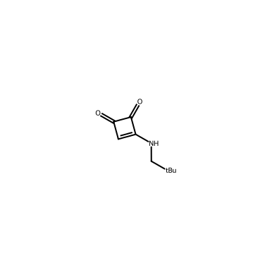 CC(C)(C)CNc1cc(=O)c1=O